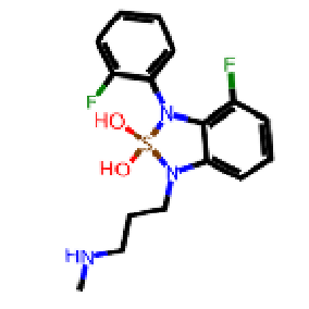 CNCCCN1c2cccc(F)c2N(c2ccccc2F)S1(O)O